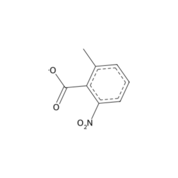 Cc1cccc([N+](=O)[O-])c1C([O])=O